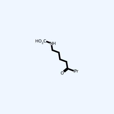 CC(C)C(=O)CCCCNC(=O)O